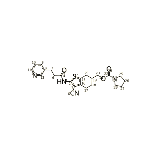 N#Cc1c(NC(=O)CCc2cccnc2)sc2c1CCC(COC(=O)N1CCCC1)C2